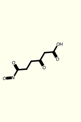 O=NC(=O)CCC(=O)CC(=O)O